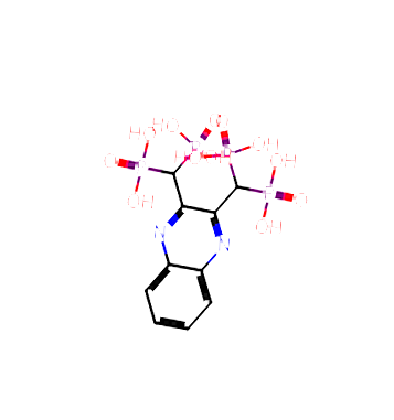 O=P(O)(O)C(c1nc2ccccc2nc1C(P(=O)(O)O)P(=O)(O)O)P(=O)(O)O